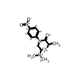 CC(C)C(=O)N(CCN(C)C)c1ccc([N+](=O)[O-])cc1